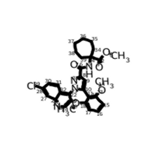 COC(=O)C1(NC(=O)c2cc(-c3c(OC)cccc3OC)n(-c3ccnc4cc(Cl)ccc34)n2)CCCCCC1